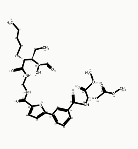 CCCCC[C@@H](C(=O)NCNC(=O)c1ccc(-c2cccc(C(=O)N[C@@H](CC(=O)OC)C(=O)OC)c2)o1)[C@@H](CC)N(O)C=O